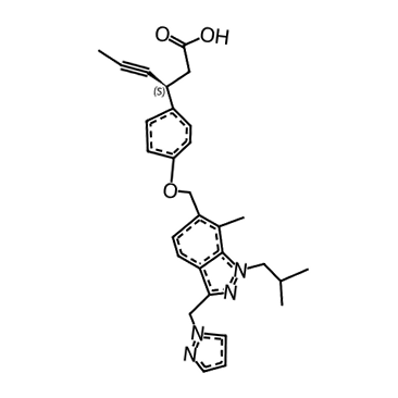 CC#C[C@@H](CC(=O)O)c1ccc(OCc2ccc3c(Cn4cccn4)nn(CC(C)C)c3c2C)cc1